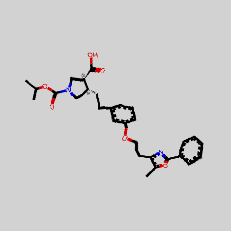 Cc1oc(-c2ccccc2)nc1CCOc1cccc(CC[C@@H]2CN(C(=O)OC(C)C)C[C@H]2C(=O)O)c1